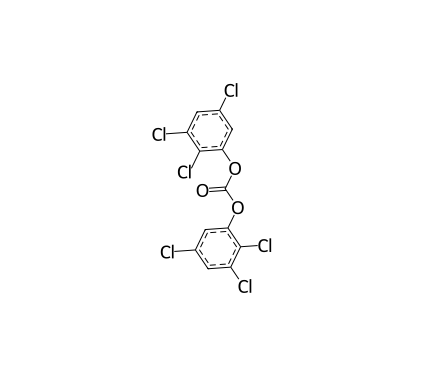 O=C(Oc1cc(Cl)cc(Cl)c1Cl)Oc1cc(Cl)cc(Cl)c1Cl